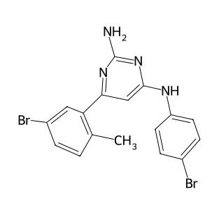 Cc1ccc(Br)cc1-c1cc(Nc2ccc(Br)cc2)nc(N)n1